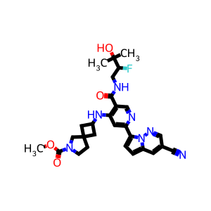 COC(=O)N1CCC2(CC(Nc3cc(-c4ccc5cc(C#N)cnn45)ncc3C(=O)NCC(F)C(C)(C)O)C2)C1